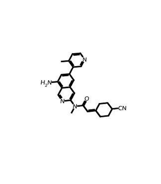 Cc1ccncc1-c1cc(N)c2cnc(N(C)C(=O)C=C3CCC(C#N)CC3)cc2c1